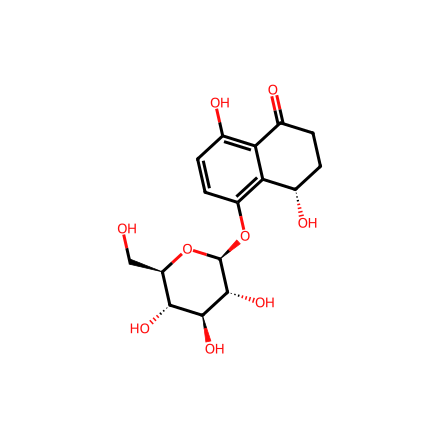 O=C1CC[C@H](O)c2c(O[C@@H]3O[C@H](CO)[C@@H](O)[C@H](O)[C@H]3O)ccc(O)c21